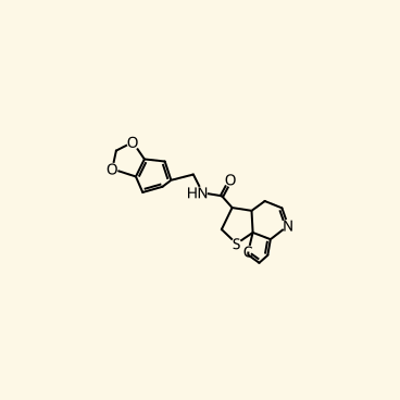 O=C(NCc1ccc2c(c1)OCO2)C1CSC23CC=CC=C2N=CCC13